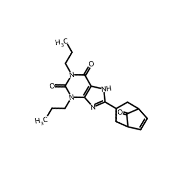 CCCn1c(=O)c2[nH]c(C3CC4C=CC(C3)C4=O)nc2n(CCC)c1=O